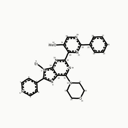 CCn1c(-c2ccncc2)nc2c(N3CCOCC3)nc(-c3nc(-c4ccccc4)ncc3OC)nc21